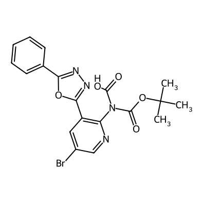 CC(C)(C)OC(=O)N(C(=O)O)c1ncc(Br)cc1-c1nnc(-c2ccccc2)o1